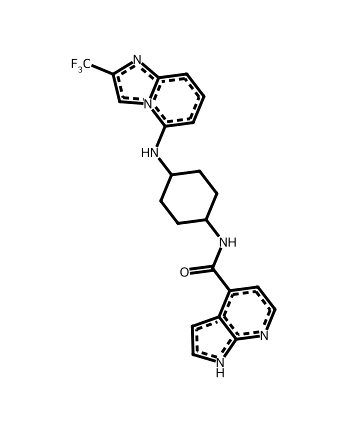 O=C(NC1CCC(Nc2cccc3nc(C(F)(F)F)cn23)CC1)c1ccnc2[nH]ccc12